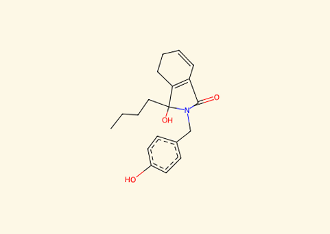 CCCCC1(O)C2=C(C=CCC2)C(=O)N1Cc1ccc(O)cc1